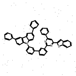 c1ccc(-c2ccc3c(c2)c2cc(-c4ccccc4)ccc2n3-c2cccc(-c3cccc(-c4nc(-c5ccccc5)cc(-c5cc6ccccc6s5)n4)c3)c2)cc1